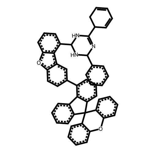 C1=CCC(C2=NC(c3ccccc3)NC(c3cccc4oc5ccc(-c6cccc7c6-c6ccccc6C76c7ccccc7Oc7ccccc76)cc5c34)N2)C=C1